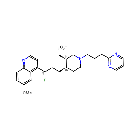 COc1ccc2nccc([C@@H](F)CC[C@@H]3CCN(CCCc4ncccn4)C[C@@H]3CC(=O)O)c2c1